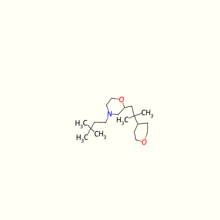 CC(C)(C)CCN1CCOC(CC(C)(C)C2CCOCC2)C1